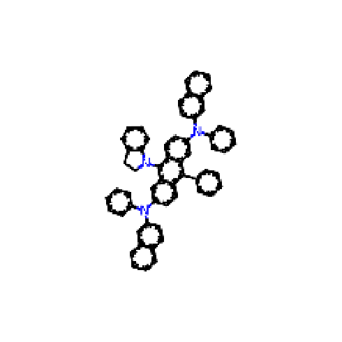 c1ccc(-c2c3cc(N(c4ccccc4)c4ccc5ccccc5c4)ccc3c(N3CCc4ccccc43)c3cc(N(c4ccccc4)c4ccc5ccccc5c4)ccc23)cc1